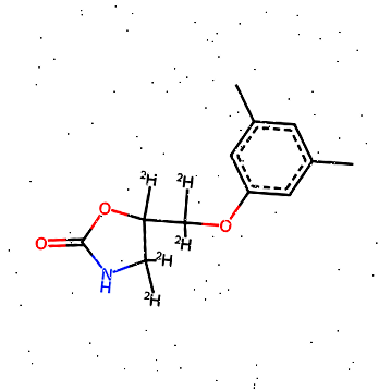 [2H]C1([2H])NC(=O)OC1([2H])C([2H])([2H])Oc1cc(C)cc(C)c1